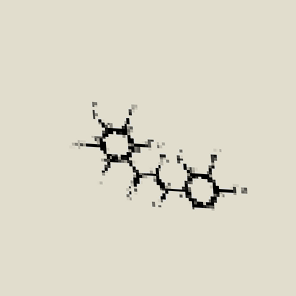 O=C(C(F)=C(F)c1ccc(F)c(F)c1F)c1c(F)c(F)c(F)c(F)c1F